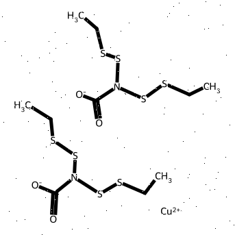 CCSSN(SSCC)C(=O)[O-].CCSSN(SSCC)C(=O)[O-].[Cu+2]